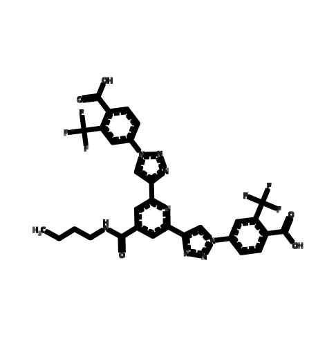 CCCCNC(=O)c1cc(-c2cn(-c3ccc(C(=O)O)c(C(F)(F)F)c3)nn2)nc(-c2cn(-c3ccc(C(=O)O)c(C(F)(F)F)c3)nn2)c1